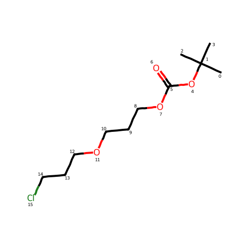 CC(C)(C)OC(=O)OCCCOCCCCl